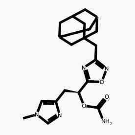 Cn1cnc(C[C@H](OC(N)=O)c2nc(CC34CC5CC(CC(C5)C3)C4)no2)c1